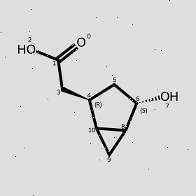 O=C(O)C[C@H]1C[C@H](O)C2CC21